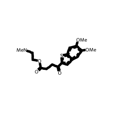 CNCCOC(=O)CCC(=O)c1cc2cc(OC)c(OC)cc2s1